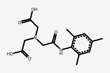 Cc1cc(C)c(NC(=O)CN(CC(=O)O)CC(=O)O)c(C)c1